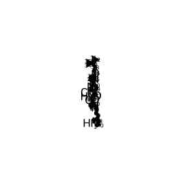 CC1(C)CC(CCCn2ccc(S(=O)(=O)NC(=O)c3ccc(-n4ccc(OCCC5C6(CC6)C56CC6)n4)nc3Cl)n2)CN1